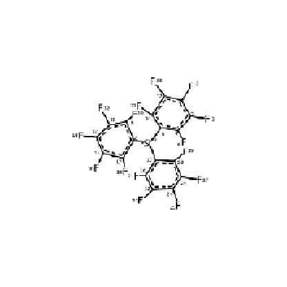 Fc1c(F)c(F)c([Si](c2c(F)c(F)c(F)c(F)c2F)c2c(F)c(F)c(F)c(F)c2F)c(F)c1F